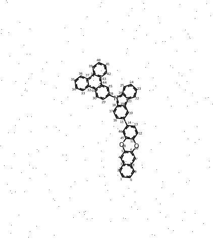 c1ccc2cc3c(cc2c1)Oc1ccc(-c2ccc4c(c2)c2ccccc2n4-c2ccc4c5ccccc5c5ccccc5c4c2)cc1O3